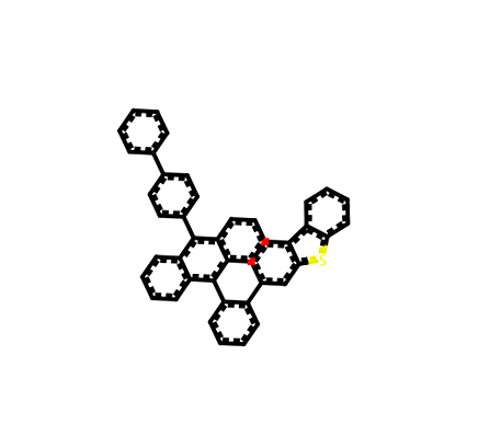 c1ccc(-c2ccc(-c3c4ccccc4c(-c4ccccc4-c4ccc5c(c4)sc4ccccc45)c4ccccc34)cc2)cc1